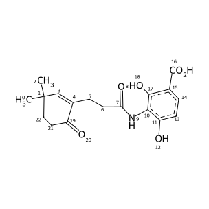 CC1(C)C=C(CCC(=O)Nc2c(O)ccc(C(=O)O)c2O)C(=O)CC1